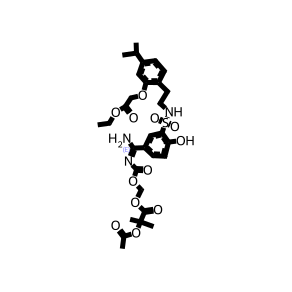 CCOC(=O)COc1cc(C(C)C)ccc1CCNS(=O)(=O)c1cc(/C(N)=N\C(=O)OCOC(=O)C(C)(C)OC(C)=O)ccc1O